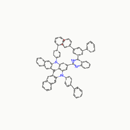 c1ccc(-c2ccc(N3c4cc5ccccc5cc4B4c5cc6ccccc6cc5N(c5ccc(-c6ccccc6)cc5)c5cc(-c6nc(-c7cc(-c8ccccc8)cc(-c8ccccc8)c7)c7ccccc7n6)cc3c54)cc2)cc1